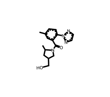 Cc1ccc(-n2nccn2)c(C(=O)N2CC(CO)CC2C)c1